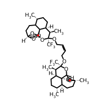 C[C@@H]1CC[C@H]2[C@@H](C)[C@](OC/C=C\CO[C@@]3(C(F)(F)F)O[C@@H]4O[C@]5(C)CC[C@H]6[C@H](C)CC[C@@H]([C@H]3C)[C@@]46OO5)(C(F)(F)F)O[C@@H]3O[C@@H]4CCC1[C@]32OO4